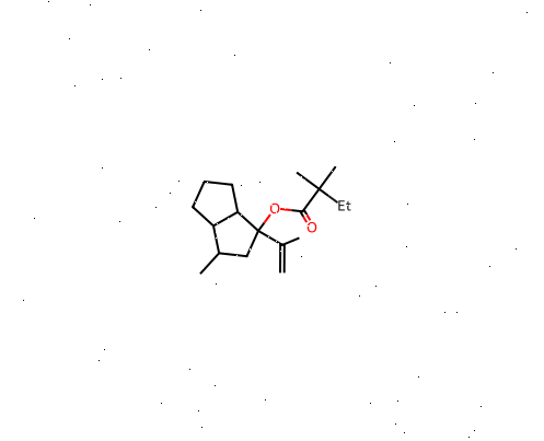 C=C(C)C1(OC(=O)C(C)(C)CC)CC(C)C2CCCC21